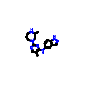 Cc1cnc(N2CCCNC(C)C2)nc1Nc1ccc2[nH]ncc2c1